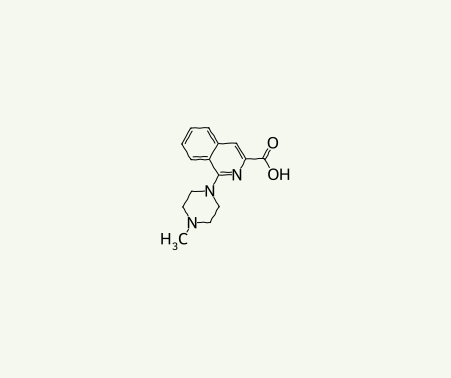 CN1CCN(c2nc(C(=O)O)cc3ccccc23)CC1